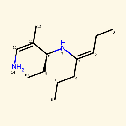 CC/C=C(/CCC)N[C@@H](CC)/C(C)=C\N